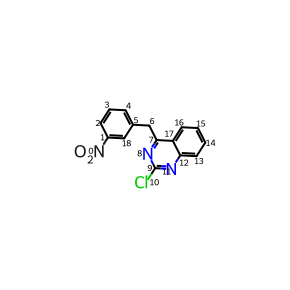 O=[N+]([O-])c1cccc(Cc2nc(Cl)nc3ccccc23)c1